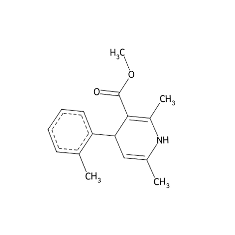 COC(=O)C1=C(C)NC(C)=CC1c1ccccc1C